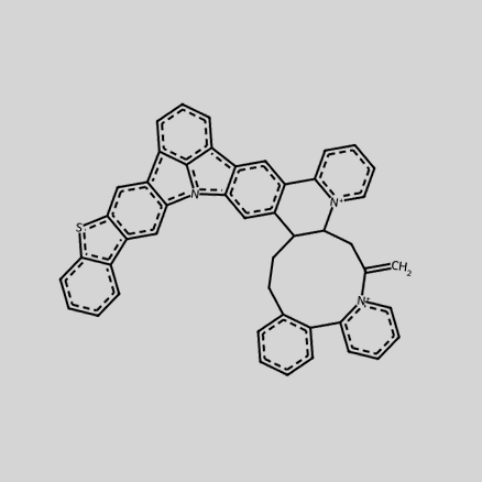 C=C1CC2C(CCc3ccccc3-c3cccc[n+]31)c1cc3c(cc1-c1cccc[n+]12)c1cccc2c4cc5sc6ccccc6c5cc4n3c12